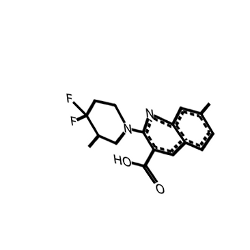 Cc1ccc2cc(C(=O)O)c(N3CCC(F)(F)C(C)C3)nc2c1